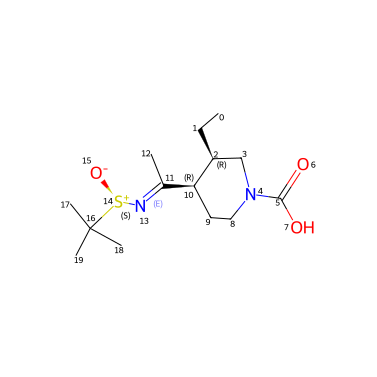 CC[C@H]1CN(C(=O)O)CC[C@H]1/C(C)=N/[S@+]([O-])C(C)(C)C